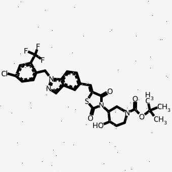 CC(C)(C)OC(=O)N1CCC(O)C(N2C(=O)SC(=Cc3ccc4c(cnn4Cc4ccc(Cl)cc4C(F)(F)F)c3)C2=O)C1